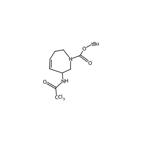 CC(C)(C)OC(=O)N1CCC=CC(NC(=O)C(Cl)(Cl)Cl)C1